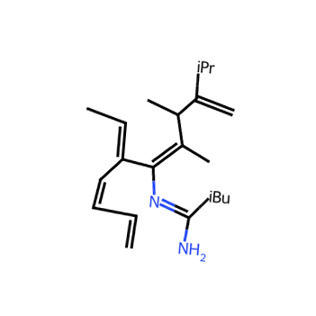 C=C\C=C/C(=C\C)C(/N=C(/N)C(C)CC)=C(/C)C(C)C(=C)C(C)C